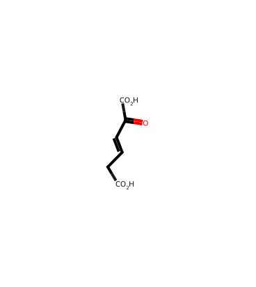 O=C(O)CC=CC(=O)C(=O)O